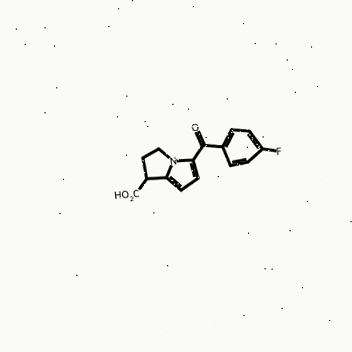 O=C(c1ccc(F)cc1)c1ccc2n1CCC2C(=O)O